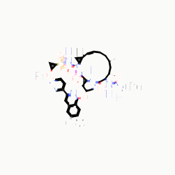 COc1ccc2c(O[C@@H]3C[C@H]4C(=O)N[C@]5(C(=O)NS(=O)(=O)C6CC6)C[C@H]5C=CCC[C@@H](C)C[C@@H](C)[C@H](NC(=O)NC(C)(C)C)C(=O)N4C3)nc(-c3ccc(OC(C)C)nc3)cc2c1